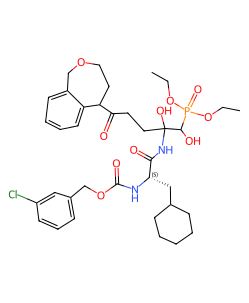 CCOP(=O)(OCC)C(O)C(O)(CCC(=O)C1CCOCc2ccccc21)NC(=O)[C@H](CC1CCCCC1)NC(=O)OCc1cccc(Cl)c1